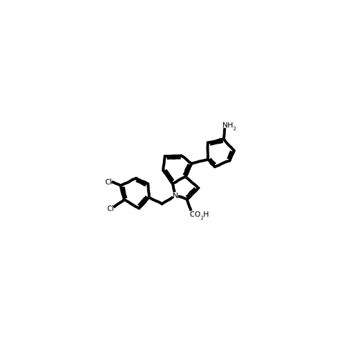 Nc1cccc(-c2cccc3c2cc(C(=O)O)n3Cc2ccc(Cl)c(Cl)c2)c1